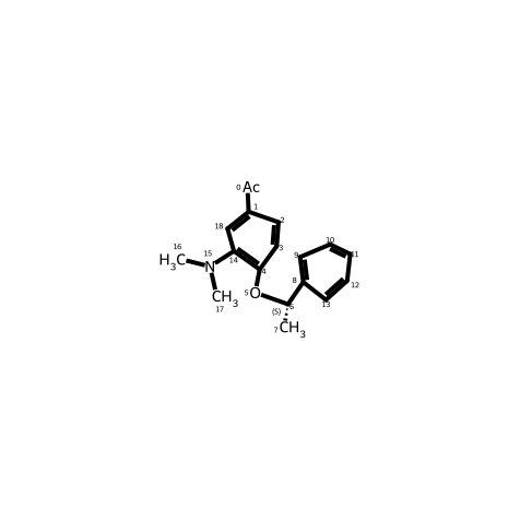 CC(=O)c1ccc(O[C@@H](C)c2ccccc2)c(N(C)C)c1